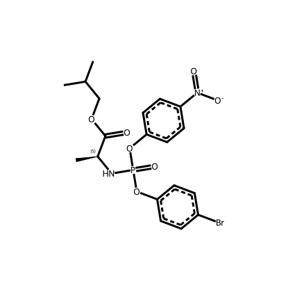 CC(C)COC(=O)[C@H](C)NP(=O)(Oc1ccc(Br)cc1)Oc1ccc([N+](=O)[O-])cc1